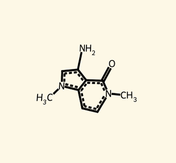 Cn1ccc2c(c(N)cn2C)c1=O